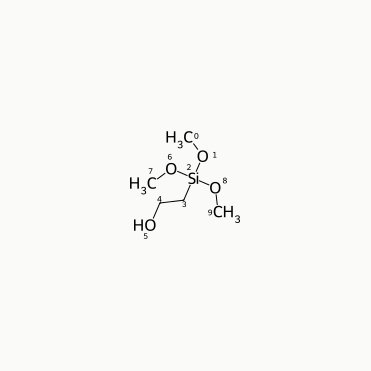 CO[Si](CCO)(OC)OC